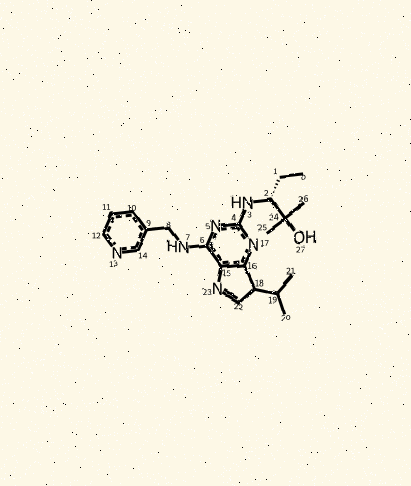 CC[C@@H](Nc1nc(NCc2cccnc2)c2c(n1)C(C(C)C)C=N2)C(C)(C)O